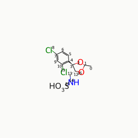 CC1O[C@H](c2ccc(Cl)cc2Cl)[C@@H](CNS(=O)(=O)O)O1